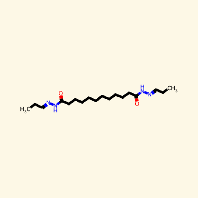 CCC=NNC(=O)CCCCCCCCCCC(=O)NN=CCC